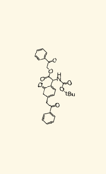 CC(C)(C)OC(=O)NC(C(=O)OCC(=O)c1ccccc1)C1=CC=C(CC(=O)c2ccccc2)CC1=O